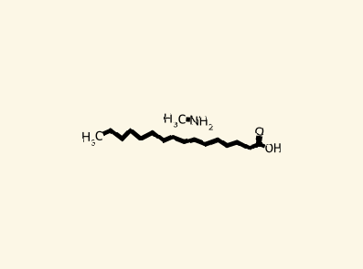 CCCCCCCCCCCCCCCC(=O)O.CN